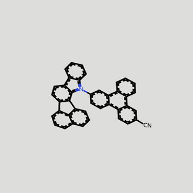 N#Cc1ccc2c3ccc(-n4c5ccccc5c5ccc6c(c54)-c4cccc5cccc-6c45)cc3c3ccccc3c2c1